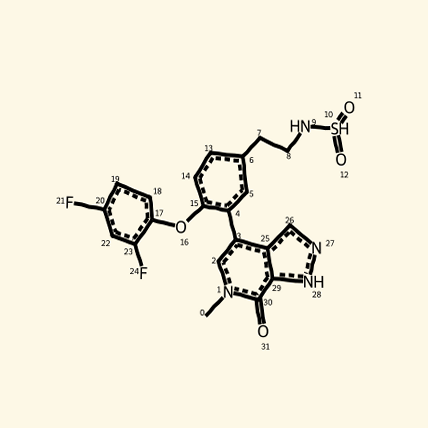 Cn1cc(-c2cc(CCN[SH](=O)=O)ccc2Oc2ccc(F)cc2F)c2cn[nH]c2c1=O